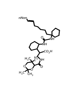 CCCCCCCCCC=CCCCCCC1(NC(=O)NC2CCCCC2C(CNC(=O)C2OC(C)(C)OCC2(C)C)C(=O)O)CCCCC1